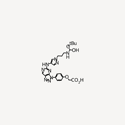 CC(C)(C)OC(O)NCCCn1cc(Nc2ncc3nnn(-c4ccc(OCC(=O)O)cc4)c3n2)cn1